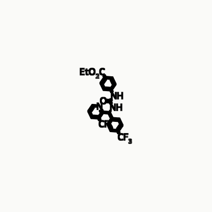 CCOC(=O)c1ccc(NC(=O)N[C@@H](c2ccc(C(F)(F)F)cc2)c2ncccc2C(F)(F)F)cc1